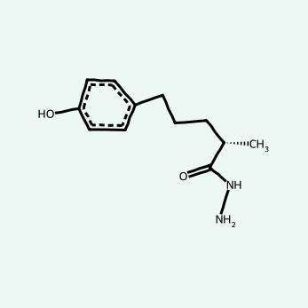 C[C@@H](CCCc1ccc(O)cc1)C(=O)NN